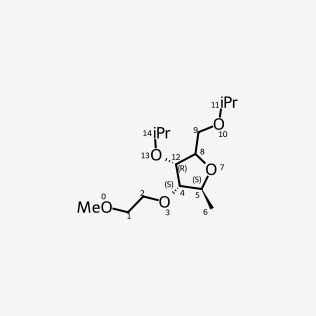 COCCO[C@H]1[C@H](C)OC(COC(C)C)[C@H]1OC(C)C